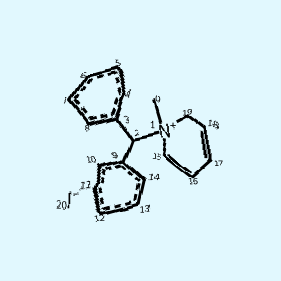 C[N+]1(C(c2ccccc2)c2ccccc2)C=CC=CC1.[I-]